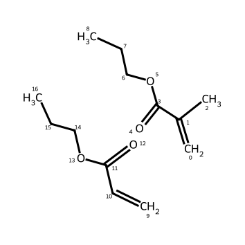 C=C(C)C(=O)OCCC.C=CC(=O)OCCC